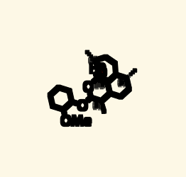 COC1CCCCC1OC1O[C@@H]2O[C@]3(C)CCC4[C@H](C)CCC([C@H]1C)[C@]42OO3